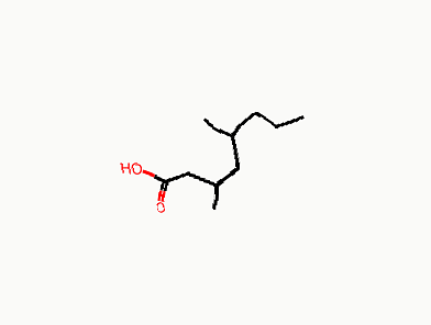 CCCC(C)CC(C)CC(=O)O